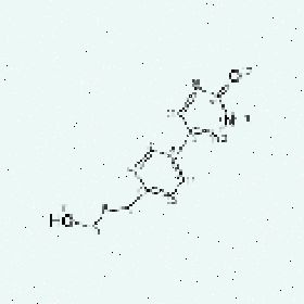 Cn1nc(-c2ccc(CCCO)cc2)ccc1=O